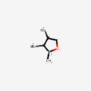 CB1OCC(C(C)(C)C)C1C(C)(C)C